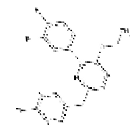 CCOc1ncc(Cc2cnc(Cl)nc2)nc1-c1ccc(F)c(F)c1